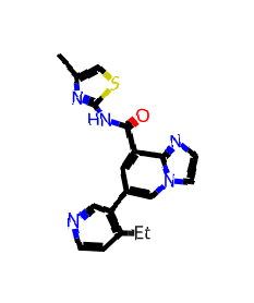 CCc1ccncc1-c1cc(C(=O)Nc2nc(C)cs2)c2nccn2c1